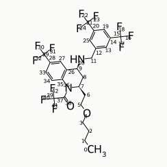 CCCCOCC[C@@H]1C[C@H](NCc2cc(C(F)(F)F)cc(C(F)(F)F)c2)c2cc(C(F)(F)F)ccc2N1C(=O)C(F)(F)F